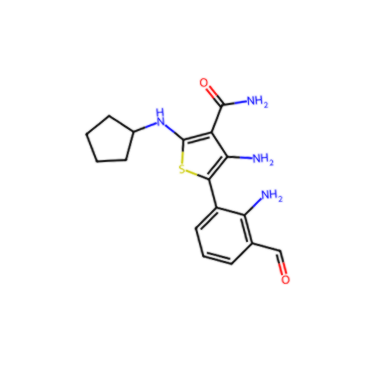 NC(=O)c1c(NC2CCCC2)sc(-c2cccc(C=O)c2N)c1N